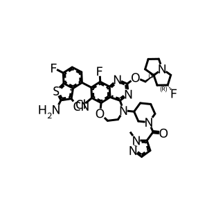 Cn1nccc1C(=O)N1CCCC(N2CCOc3c(Cl)c(-c4ccc(F)c5sc(N)c(C#N)c45)c(F)c4nc(OC[C@@]56CCCN5C[C@H](F)C6)nc2c34)C1